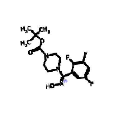 CC(C)(C)OC(=O)N1CCN(/C(=N\O)c2cc(F)cc(F)c2F)CC1